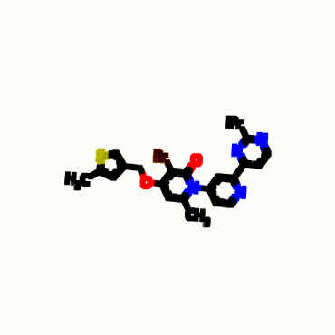 Cc1cc(COc2cc(C)n(-c3ccnc(-c4ccnc(C(C)C)n4)c3)c(=O)c2Br)cs1